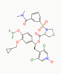 CN(C)C(=O)c1cccc(S(=O)(=O)N2CSCC2C(=O)O[C@@H](Cc2c(Cl)c[n+]([O-])cc2Cl)c2ccc(OC(F)F)c(OCC3CC3)c2)c1